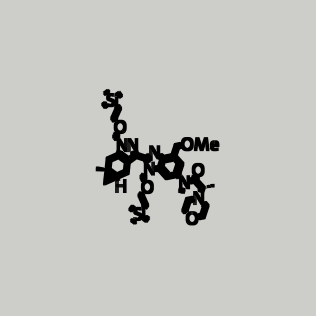 COCc1cc(N(C)C(=O)[C@H](C)N2CCOCC2)cc2c1nc(-c1nn(COCC[Si](C)(C)C)c3c1C[C@@H]1C[C@]1(C)C3)n2COCC[Si](C)(C)C